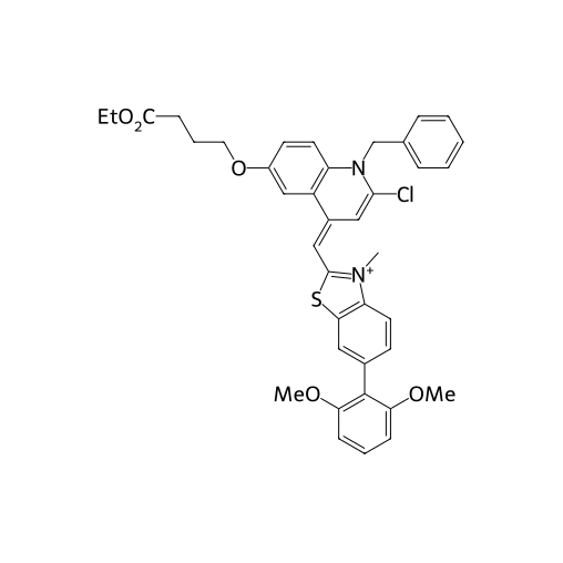 CCOC(=O)CCCOc1ccc2c(c1)C(=Cc1sc3cc(-c4c(OC)cccc4OC)ccc3[n+]1C)C=C(Cl)N2Cc1ccccc1